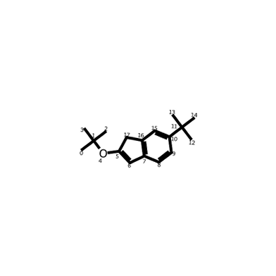 CC(C)(C)OC1=Cc2ccc(C(C)(C)C)cc2C1